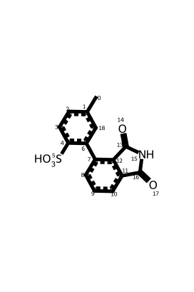 Cc1ccc(S(=O)(=O)O)c(-c2cccc3c2C(=O)NC3=O)c1